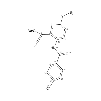 COC(=O)c1cc(CBr)ccc1NC(=O)c1ccc(Cl)cc1